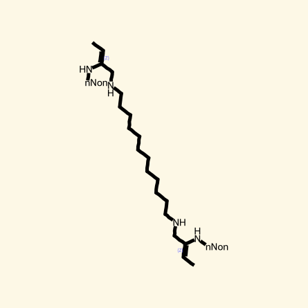 C/C=C(/CNCCCCCCCCCCCCNC/C(=C/C)NCCCCCCCCC)NCCCCCCCCC